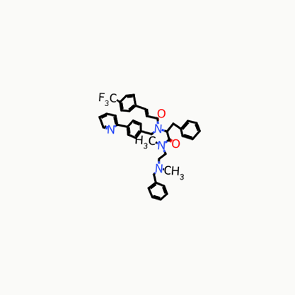 CN(CCN(C)C(=O)C(Cc1ccccc1)N(Cc1ccc(-c2ccccn2)cc1)C(=O)C=Cc1ccc(C(F)(F)F)cc1)Cc1ccccc1